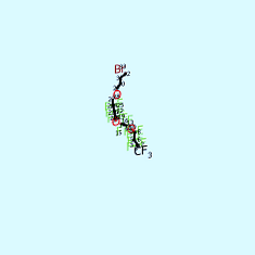 FC(F)(F)C(F)(F)C(F)(F)C(F)(F)OC(F)(F)C(F)(F)OC(F)(F)C(F)(F)C(F)(F)COCCCCBr